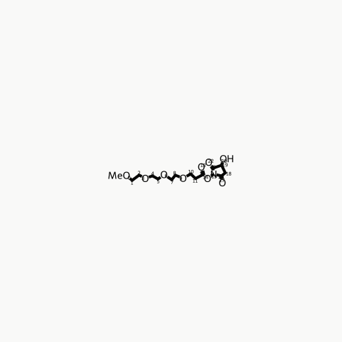 COCCOCCOCCOCCC(=O)ON1C(=O)CC(O)C1=O